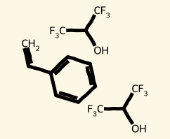 C=Cc1ccccc1.OC(C(F)(F)F)C(F)(F)F.OC(C(F)(F)F)C(F)(F)F